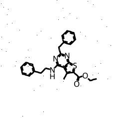 CCOC(=O)c1sc2nc(Cc3ccccc3)nc(NCCc3ccccc3)c2c1C